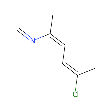 C=N/C(C)=C\C=C(/C)Cl